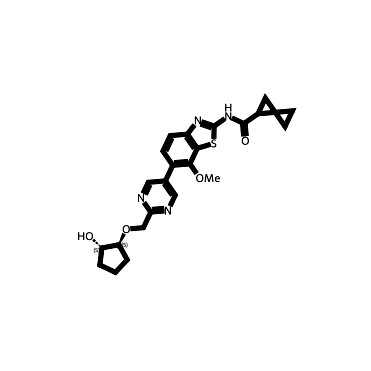 COc1c(-c2cnc(CO[C@H]3CCC[C@@H]3O)nc2)ccc2nc(NC(=O)C3CC34CC4)sc12